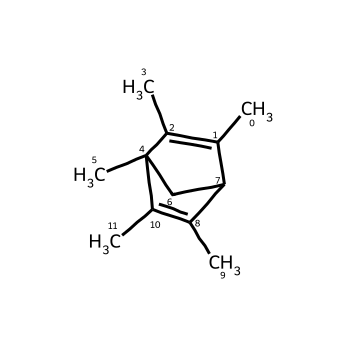 CC1=C(C)C2(C)CC1C(C)=C2C